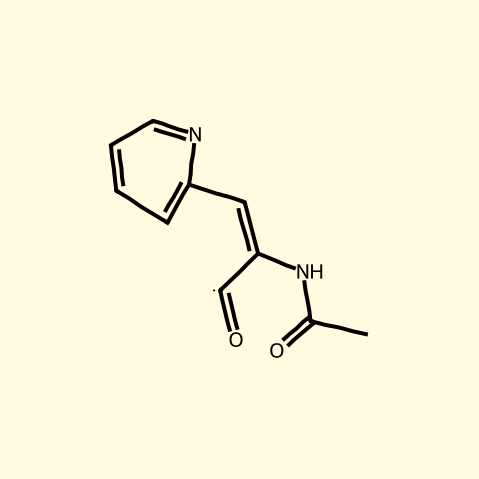 CC(=O)N/C([C]=O)=C/c1ccccn1